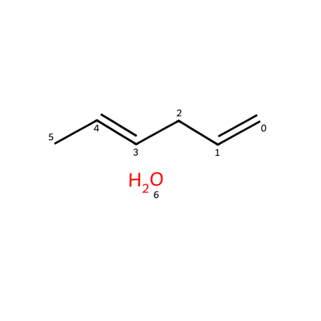 C=CCC=CC.O